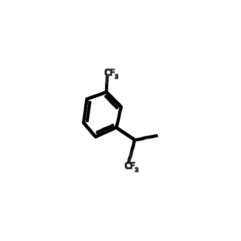 CC(c1cccc(C(F)(F)F)c1)C(F)(F)F